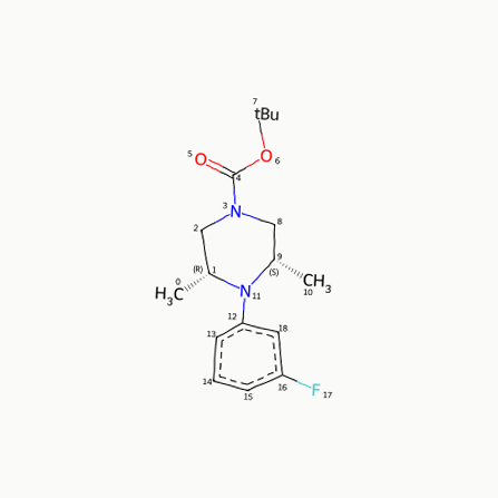 C[C@@H]1CN(C(=O)OC(C)(C)C)C[C@H](C)N1c1cccc(F)c1